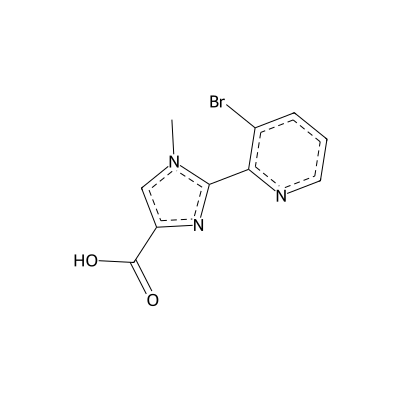 Cn1cc(C(=O)O)nc1-c1ncccc1Br